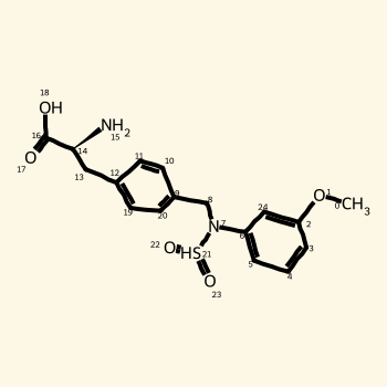 COc1cccc(N(Cc2ccc(C[C@H](N)C(=O)O)cc2)[SH](=O)=O)c1